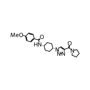 COc1ccc(C(=O)N[C@H]2CC[C@@H](n3cc(C(=O)N4CCCC4)nn3)CC2)cc1